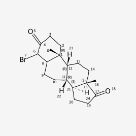 C[C@]12CCC(=O)C(Br)C1CC[C@@H]1[C@H]2CC[C@]2(C)C(=O)CC[C@@H]12